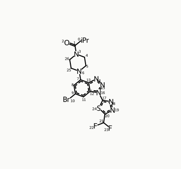 CC(C)C(=O)N1CCN(c2cc(Br)cc3c2nnn3-c2nnc(C(F)F)s2)CC1